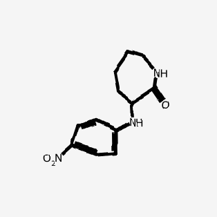 O=C1NCCCCC1Nc1ccc([N+](=O)[O-])cc1